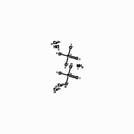 Cl.N.O=P([O-])([O-])[O-].O=P([O-])([O-])[O-].[Ca+2].[Ca+2].[Ca+2]